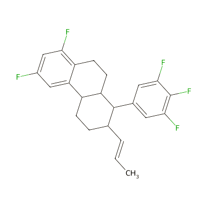 CC=CC1CCC2c3cc(F)cc(F)c3CCC2C1c1cc(F)c(F)c(F)c1